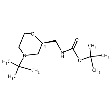 CC(C)(C)OC(=O)NC[C@H]1CN(C(C)(C)C)CCO1